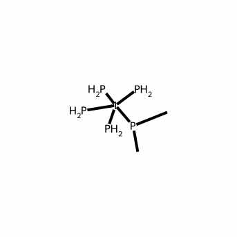 CP(C)I(P)(P)(P)P